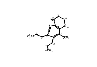 CCCc1cc2c(c(C)c1CCC)OCCN2